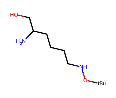 CC(C)(C)ONCCCCC(N)CO